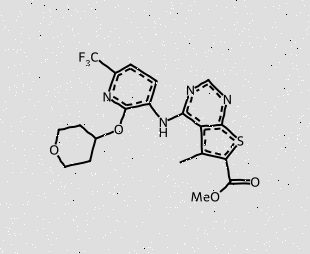 COC(=O)c1sc2ncnc(Nc3ccc(C(F)(F)F)nc3OC3CCOCC3)c2c1C